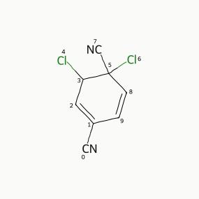 N#CC1=CC(Cl)C(Cl)(C#N)C=C1